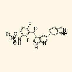 CCN(C)S(=O)(=O)Nc1ccc(F)c(C(=O)c2c[nH]c3ncc(-c4ccc5cn[nH]c5c4)cc23)c1F